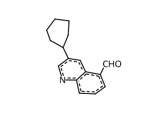 O=Cc1cccc2ncc(C3CCCCC3)cc12